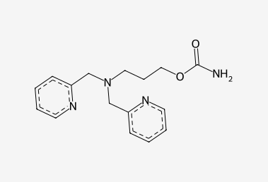 NC(=O)OCCCN(Cc1ccccn1)Cc1ccccn1